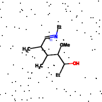 CC/N=C/C(C)C(C)C(OC)C(O)CC